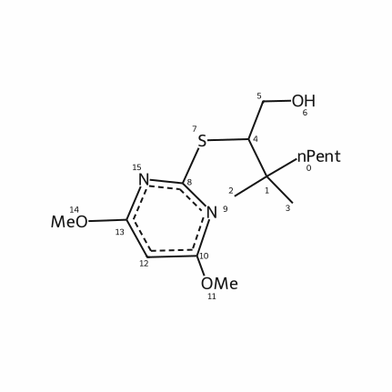 CCCCCC(C)(C)C(CO)Sc1nc(OC)cc(OC)n1